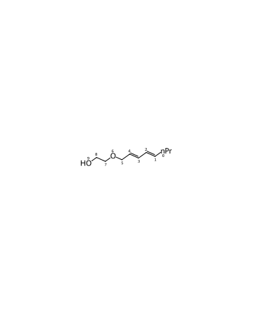 CCCC=CC=CCOCCO